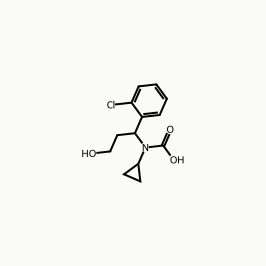 O=C(O)N(C1CC1)C(CCO)c1ccccc1Cl